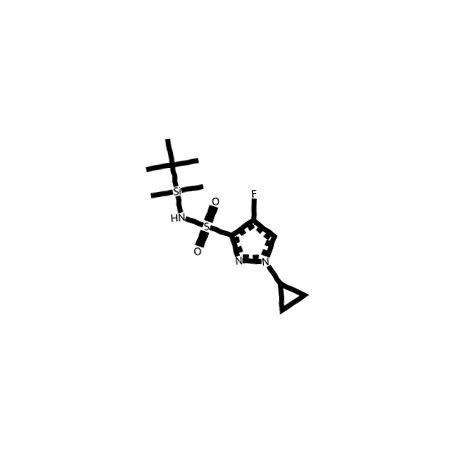 CC(C)(C)[Si](C)(C)NS(=O)(=O)c1nn(C2CC2)cc1F